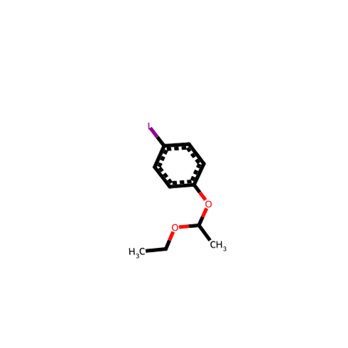 CCOC(C)Oc1ccc(I)cc1